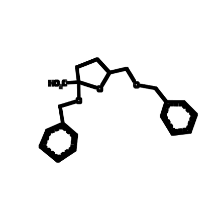 O=C(O)C1(OCc2ccccc2)CCC(COCc2ccccc2)O1